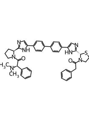 CN(C)[C@@H](C(=O)N1CCC[C@H]1c1ncc(-c2ccc(-c3ccc(-c4cnc([C@@H]5SCCN5C(=O)Cc5ccccc5)[nH]4)cc3)cc2)[nH]1)c1ccccc1